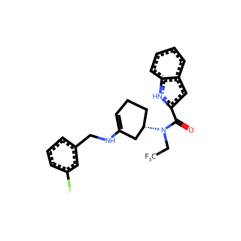 O=C(c1cc2ccccc2[nH]1)N(CC(F)(F)F)[C@H]1CCC=C(NCc2cccc(F)c2)C1